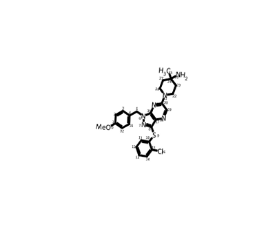 COc1ccc(Cn2nc(Sc3ccccc3Cl)c3ncc(N4CCC(C)(N)CC4)nc32)cc1